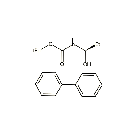 CC[C@@H](O)NC(=O)OC(C)(C)C.c1ccc(-c2ccccc2)cc1